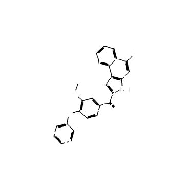 COc1cc(C(=O)c2cc3c(cc(F)c4ccccc43)[nH]2)ccc1Oc1ccccc1